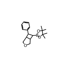 CC1(C)OB(C2C3COCC3C2c2ccccc2)OC1(C)C